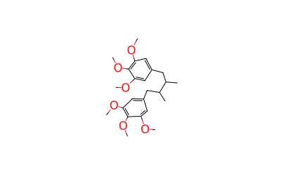 COc1cc(CC(C)C(C)Cc2cc(OC)c(OC)c(OC)c2)cc(OC)c1OC